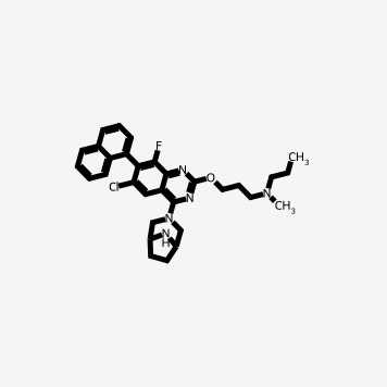 CCCN(C)CCCOc1nc(N2CC3CCC(C2)N3)c2cc(Cl)c(-c3cccc4ccccc34)c(F)c2n1